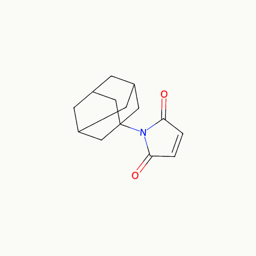 O=C1C=CC(=O)N1C12CC3CC(CC(C3)C1)C2